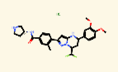 COc1ccc(C2CC(C(F)F)n3nc(-c4ccc(C(=O)N[C@@H]5CCNC5)cc4C)cc3N2)cc1OC.Cl